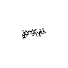 C=C(/C=C(\C)Cc1ccc(N=C(C)C)c(C)c1)C(=O)N(C)C/C(C)=C(\C)N=C(C)C